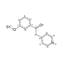 CCOc1cccc(C(=O)Cc2ccncc2)c1